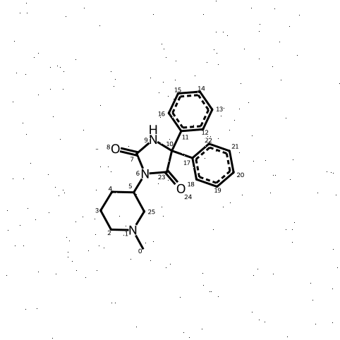 CN1CCCC(N2C(=O)NC(c3ccccc3)(c3ccccc3)C2=O)C1